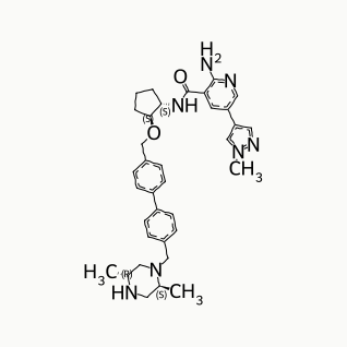 C[C@@H]1CN(Cc2ccc(-c3ccc(CO[C@H]4CCC[C@@H]4NC(=O)c4cc(-c5cnn(C)c5)cnc4N)cc3)cc2)[C@@H](C)CN1